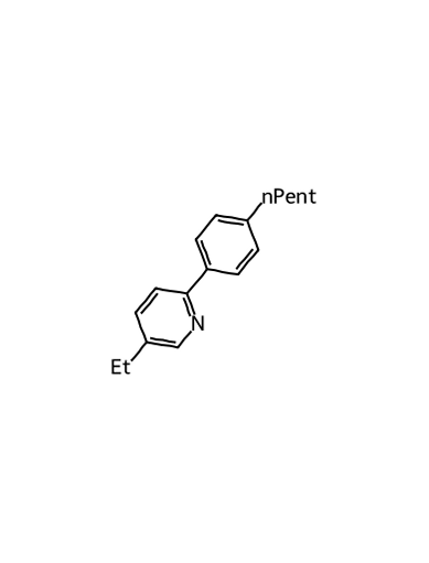 CCCCCc1ccc(-c2ccc(CC)cn2)cc1